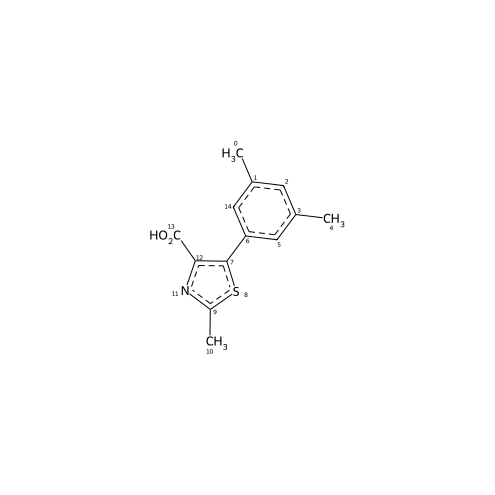 Cc1cc(C)cc(-c2sc(C)nc2C(=O)O)c1